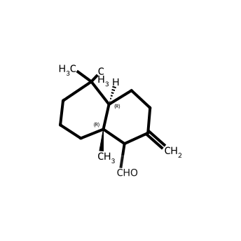 C=C1CC[C@@H]2C(C)(C)CCC[C@@]2(C)C1C=O